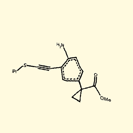 COC(=O)C1(c2ccc(N)c(C#CSC(C)C)c2)CC1